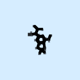 COc1cc(C(O)C(C)C)cc2c1OC(C)(C)C2